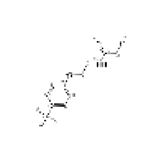 CC(C)(C)c1ccc(OCCNC(=O)CCl)cc1